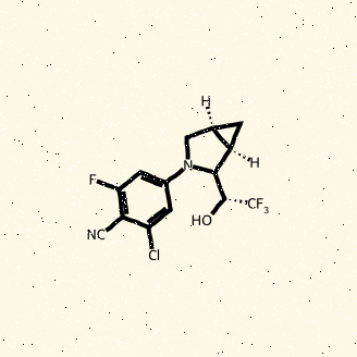 N#Cc1c(F)cc(N2C[C@H]3C[C@H]3C2[C@@H](O)C(F)(F)F)cc1Cl